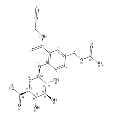 C#CCNC(=O)c1cc(COC(N)=O)ccc1O[C@@H]1O[C@H](C(=O)O)[C@@H](O)[C@H](O)[C@H]1O